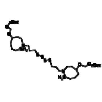 CCCCCCCCCCOCOC1CCC[SiH2]N(CCCSSSSCCCN2CCC(OCOCCCCCCCCCC)CCC[SiH2]2)CC1